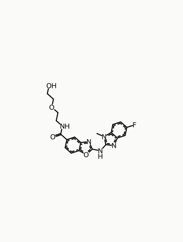 Cn1c(Nc2nc3cc(C(=O)NCCOCCO)ccc3o2)nc2cc(F)ccc21